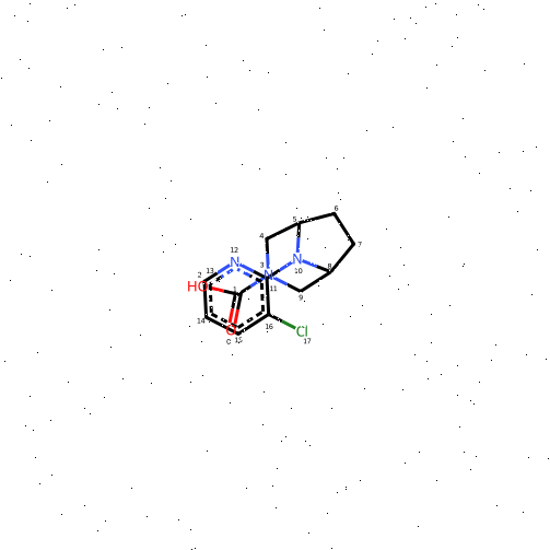 O=C(O)N1CC2CCC(C1)N2c1ncccc1Cl